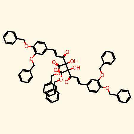 O=C(C=Cc1ccc(OCc2ccccc2)c(OCc2ccccc2)c1)C(O)(C(=O)OCc1ccccc1)C(O)(C(=O)C=Cc1ccc(OCc2ccccc2)c(OCc2ccccc2)c1)C(=O)OCc1ccccc1